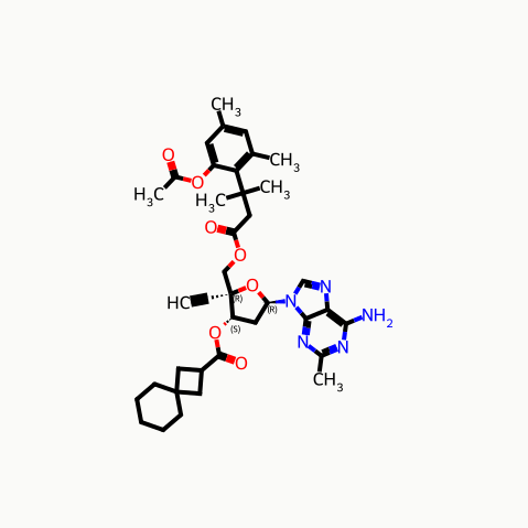 C#C[C@]1(COC(=O)CC(C)(C)c2c(C)cc(C)cc2OC(C)=O)O[C@@H](n2cnc3c(N)nc(C)nc32)C[C@@H]1OC(=O)C1CC2(CCCCC2)C1